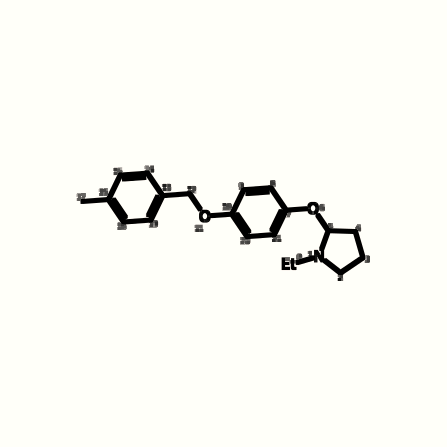 CCN1CCCC1Oc1ccc(OCc2ccc(C)cc2)cc1